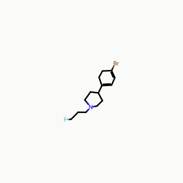 FCCCN1CCC(C2=CC=C(Br)CC2)CC1